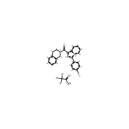 O=C(O)C(F)(F)F.O=C(c1nc(-c2ccc(F)cc2)n2ccccc12)N1CCc2ccccc2C1